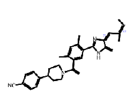 C=C(c1cc(-c2n/c(=C/C(C)=C\C)c(=C)[nH]2)c(C)cc1C)N1CCC(c2ccc(C#N)cc2)CC1